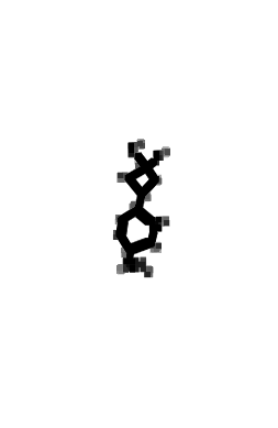 Nc1ccc(C2CC(F)(F)C2)nc1